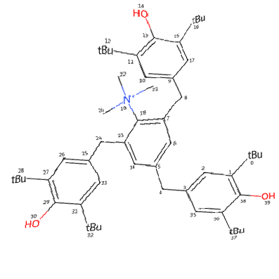 CC(C)(C)c1cc(Cc2cc(Cc3cc(C(C)(C)C)c(O)c(C(C)(C)C)c3)c([N+](C)(C)C)c(Cc3cc(C(C)(C)C)c(O)c(C(C)(C)C)c3)c2)cc(C(C)(C)C)c1O